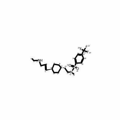 CCNCC=C[C@H]1CC[C@H](CCN(C)S(=O)(=O)c2ccc(C(F)(F)F)cc2)CC1